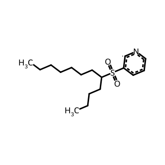 CCCCCCCC(CCCC)S(=O)(=O)c1[c]nccc1